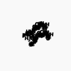 CC(NC(=O)CN1Cc2ccc(-c3nc(NC4CCOCC4)ncc3Cl)cc2C1=O)c1cnn(Cc2ccccc2)c1.O=C(CN1Cc2ccc(-c3nc(NC4CCOCC4)ncc3Cl)cc2C1=O)N[C@H](CO)c1ccc(C2CC2)cn1